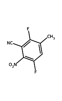 Cc1cc(F)c([N+](=O)[O-])c(C#N)c1F